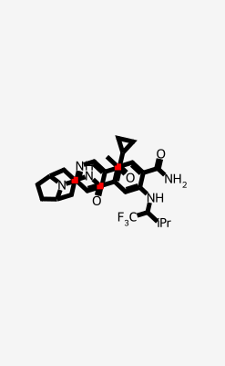 Cc1cc(C(N)=O)c(NC(C(C)C)C(F)(F)F)cc1C(=O)NC1CC2CCC(C1)N2c1ccc(C(=O)C2CC2)cn1